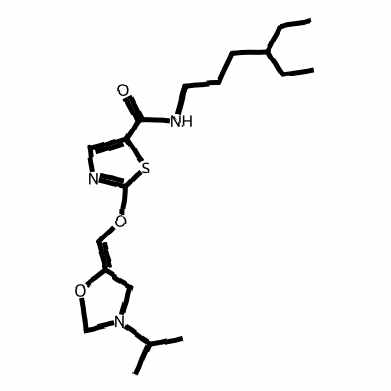 CCC(CC)CCCNC(=O)c1cnc(OC=C2CN(C(C)C)CO2)s1